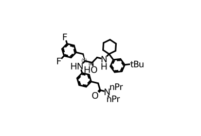 CCCN(CCC)C(=O)Cc1cccc(N[C@@H](Cc2cc(F)cc(F)c2)[C@H](O)CNC2(c3cccc(C(C)(C)C)c3)CCCCC2)c1